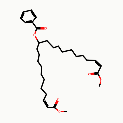 COC(=O)/C=C\CCCCCCCCC(CCCCCCCC/C=C\C(=O)OC)OC(=O)c1ccccc1